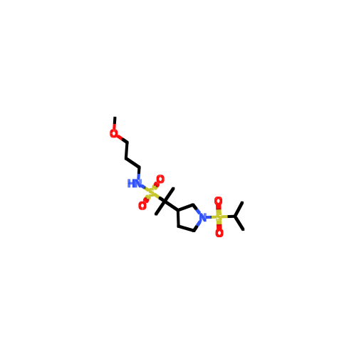 COCCCNS(=O)(=O)C(C)(C)C1CCN(S(=O)(=O)C(C)C)C1